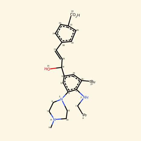 CC(C)CNc1c(N2CCN(C)CC2)cc(C(O)C=Cc2ccc(C(=O)O)cc2)cc1C(C)(C)C